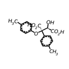 Cc1ccc(O[C@](C(=O)O)(c2ccc(C)cc2)[C@@H](O)C(=O)O)cc1